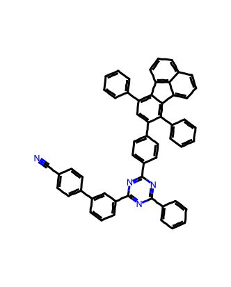 N#Cc1ccc(-c2cccc(-c3nc(-c4ccccc4)nc(-c4ccc(-c5cc(-c6ccccc6)c6c(c5-c5ccccc5)-c5cccc7cccc-6c57)cc4)n3)c2)cc1